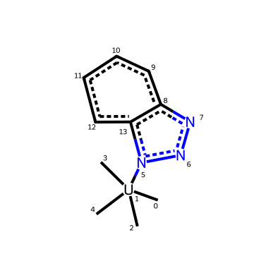 [CH3][U]([CH3])([CH3])([CH3])[n]1nnc2ccccc21